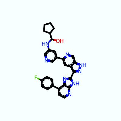 OC(Nc1cncc(-c2cc3c(-c4nc5c(-c6ccc(F)cc6)ccnc5[nH]4)n[nH]c3cn2)c1)C1CCCC1